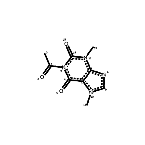 CC(=O)n1c(=O)c2c(ncn2C)n(C)c1=O